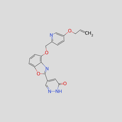 C=CCOc1ccc(COc2cccc3oc(-c4cn[nH]c(=O)c4)nc23)nc1